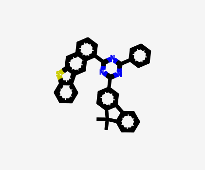 CC1(C)c2ccccc2-c2cc(-c3nc(-c4ccccc4)nc(-c4cccc5cc6sc7ccccc7c6cc45)n3)ccc21